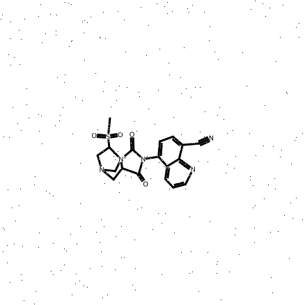 CS(=O)(=O)C1CN2CC3C(=O)N(c4ccc(C#N)c5ncccc45)C(=O)[N+]31C2